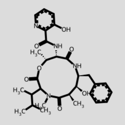 CC(C)C(C)C1C(=O)O[C@H](C)[C@H](NC(=O)c2ncccc2O)C(=O)N[C@@H](Cc2ccccc2)[C@@H](O)[C@@H](C)C(=O)N1C